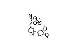 COc1ccc(-c2cc(C=C(C#N)OS(C)(=O)=O)ccn2)cc1OC